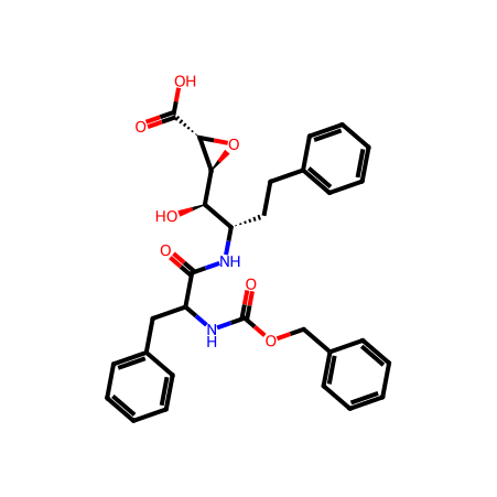 O=C(NC(Cc1ccccc1)C(=O)N[C@@H](CCc1ccccc1)[C@@H](O)[C@@H]1O[C@H]1C(=O)O)OCc1ccccc1